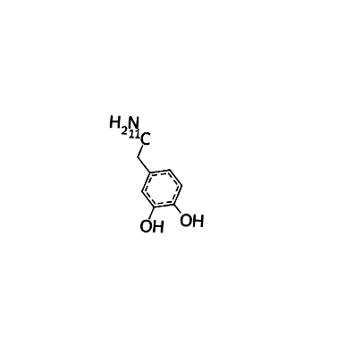 N[11CH2]Cc1ccc(O)c(O)c1